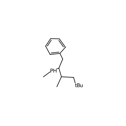 CPC(Cc1ccccc1)C(C)CC(C)(C)C